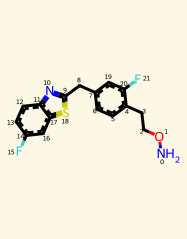 NOCCc1ccc(Cc2nc3ccc(F)cc3s2)cc1F